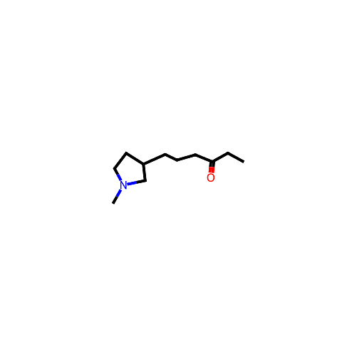 CCC(=O)CCCC1CCN(C)C1